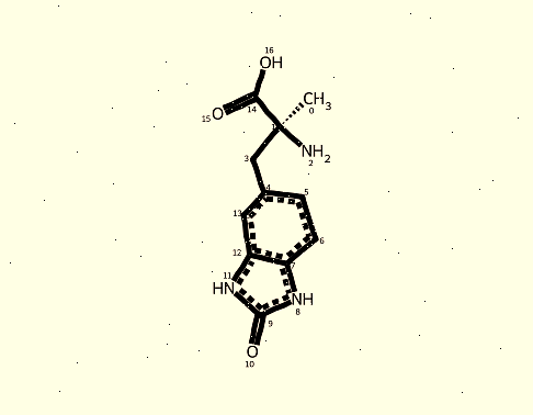 C[C@](N)(Cc1ccc2[nH]c(=O)[nH]c2c1)C(=O)O